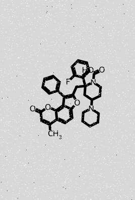 Cc1cc(=O)oc2c1ccc1oc(CC3(c4ccccc4F)CC(N4CCCCC4)CCN3C(=O)O)c(-c3ccccc3)c12